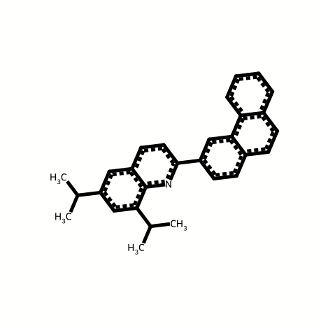 CC(C)c1cc(C(C)C)c2nc(-c3ccc4ccc5ccccc5c4c3)ccc2c1